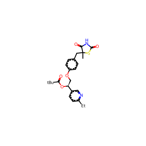 CCc1ccc([C@H](COc2ccc(CC3(C)SC(=O)NC3=O)cc2)OC(=O)C(C)(C)C)cn1